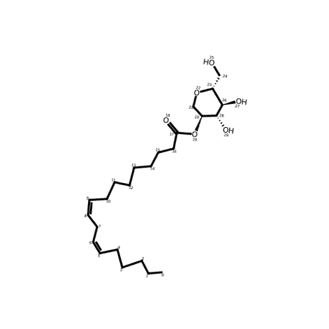 CCCCC/C=C\C/C=C\CCCCCCCC(=O)O[C@H]1[CH]O[C@H](CO)[C@@H](O)[C@@H]1O